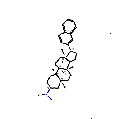 CC(=O)N(C)[C@H]1CC[C@@]2(C)[C@@H](CC[C@]3(C)[C@@H]2CC[C@@]2(C)[C@H]3CC[C@@H]2c2ccc3ccccc3c2)C1